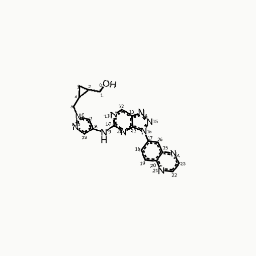 OCC1CC1Cn1cc(Nc2ncc3nnn(-c4ccc5nccnc5c4)c3n2)cn1